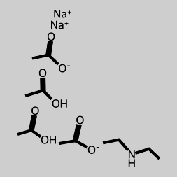 CC(=O)O.CC(=O)O.CC(=O)[O-].CC(=O)[O-].CCNCC.[Na+].[Na+]